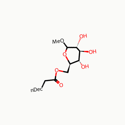 CCCCCCCCCCCC(=O)OC[C@H]1OC(OC)[C@H](O)[C@@H](O)[C@@H]1O